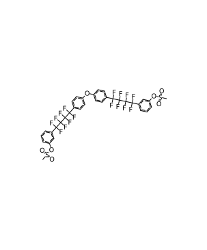 CS(=O)(=O)Oc1cccc(C(F)(F)C(F)(F)C(F)(F)C(F)(F)c2ccc(Oc3ccc(C(F)(F)C(F)(F)C(F)(F)C(F)(F)c4cccc(OS(C)(=O)=O)c4)cc3)cc2)c1